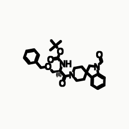 CC(C)(C)OC(=O)N[C@H](COCc1ccccc1)C(=O)N1CCC2(CC1)CN(C=O)c1ccccc12